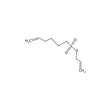 C=CCCCCS(=O)(=O)OCC=C